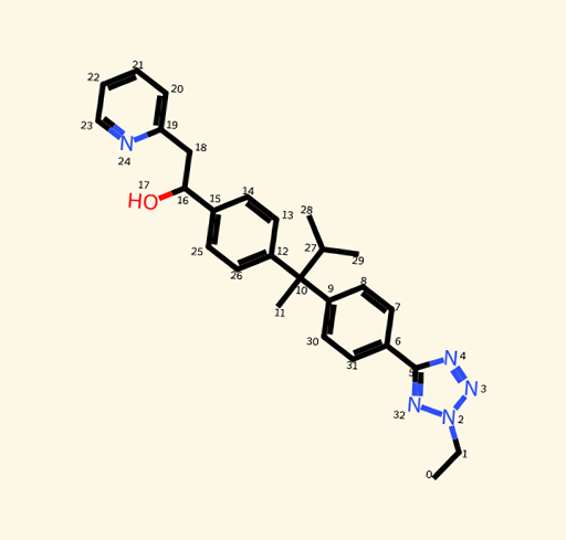 CCn1nnc(-c2ccc(C(C)(c3ccc(C(O)Cc4ccccn4)cc3)C(C)C)cc2)n1